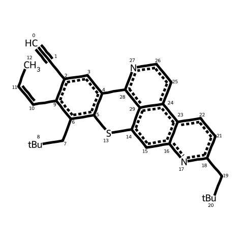 C#Cc1cc2c(c(CC(C)(C)C)c1/C=C\C)Sc1cc3nc(CC(C)(C)C)ccc3c3ccnc-2c13